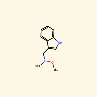 CC(C)(C)ON(C=O)Cc1c[nH]c2ccccc12